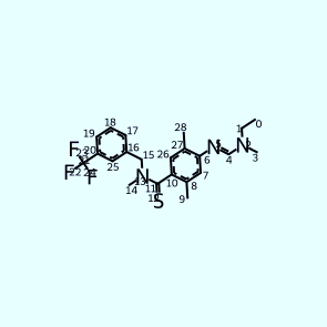 CCN(C)C=Nc1cc(C)c(C(=S)N(C)Cc2cccc(C(F)(F)F)c2)cc1C